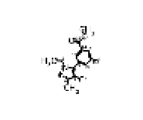 CCn1nc(C)c(Cl)c1-c1cc(F)cc(C(=O)OC)c1